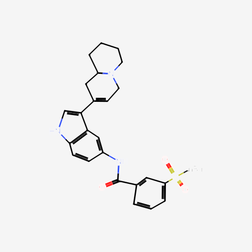 CCCCS(=O)(=O)c1cccc(C(=O)Nc2ccc3[nH]cc(C4=CCN5CCCCC5C4)c3c2)c1